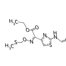 CCOC(=O)C(=NOCSC)c1csc(NC=O)n1